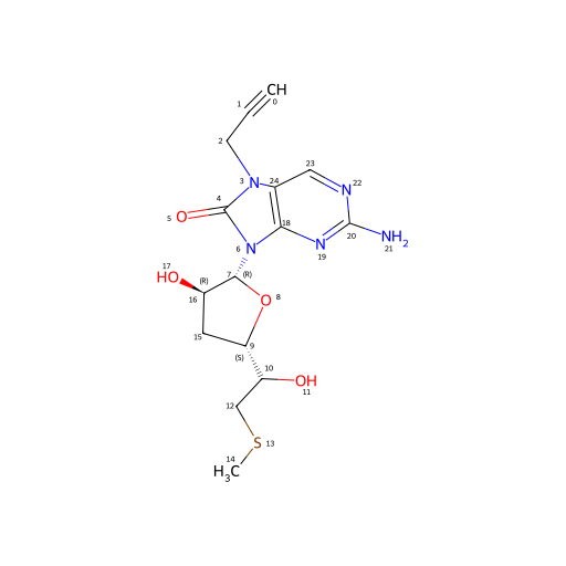 C#CCn1c(=O)n([C@@H]2O[C@H](C(O)CSC)C[C@H]2O)c2nc(N)ncc21